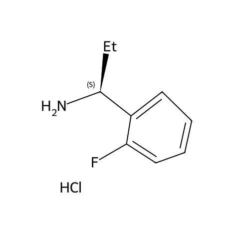 CC[C@H](N)c1ccccc1F.Cl